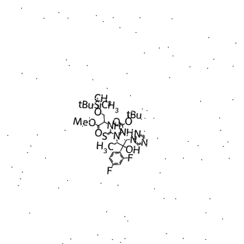 COC(=O)C(CO[Si](C)(C)C(C)(C)C)NC(=S)N(NC(=O)OC(C)(C)C)[C@H](C)[C@](O)(Cn1cncn1)c1ccc(F)cc1F